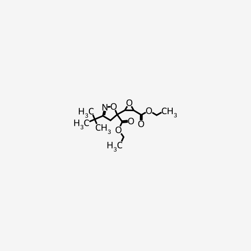 CCOC(=O)C1OC1C1(C(=O)OCC)CC(C(C)(C)C)=NO1